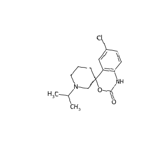 CC(C)N1CCCC2(C1)OC(=O)Nc1ccc(Cl)cc12